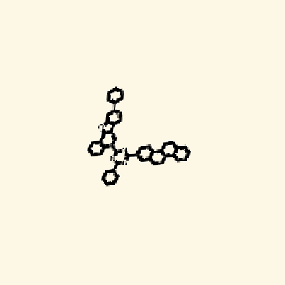 c1ccc(-c2ccc3c(c2)oc2c4ccccc4c(-c4nc(-c5ccccc5)nc(-c5ccc6c(ccc7c8ccccc8ccc67)c5)n4)cc32)cc1